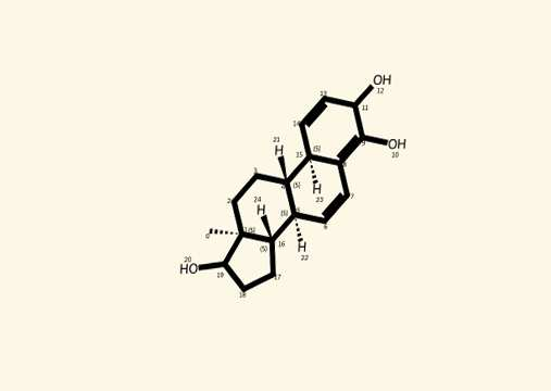 C[C@]12CC[C@H]3[C@@H](C=CC4=C(O)C(O)C=C[C@@H]43)[C@@H]1CCC2O